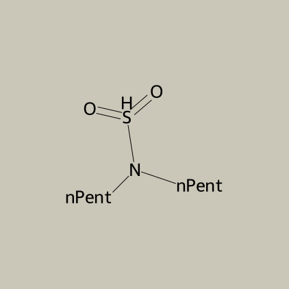 CCCCCN(CCCCC)[SH](=O)=O